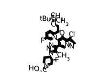 Cc1c(-c2cc(OC(CO[Si](C)(C)C(C)(C)C)c3ccc(F)cn3)c3c(Cl)cnn3c2)nnn1[C@H]1CCN(C(=O)O)C[C@@H]1F